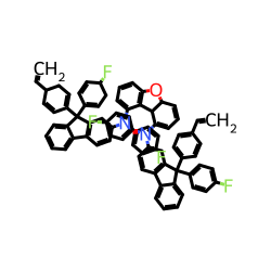 C=Cc1ccc(C2(c3ccc(F)cc3)C3=C(C=CC(N(C4=CC=CC5Oc6cccc(N(c7ccc(F)cc7)C7C=CC8=C(C7)C(C7=CCC(F)C=C7)(C7=CCC(C=C)C=C7)c7ccccc78)c6C45)c4ccc(F)cc4)C3)c3ccccc32)cc1